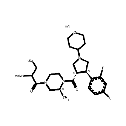 CC(=O)NC(CC(C)(C)C)C(=O)N1CCN(C(=O)[C@@H]2CN(C3CCOCC3)C[C@H]2c2ccc(Cl)cc2F)[C@@H](C)C1.Cl